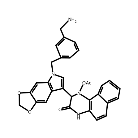 CC(=O)ON1c2c(ccc3ccccc23)NC(=O)C1c1cn(Cc2cccc(CN)c2)c2cc3c(cc12)OCO3